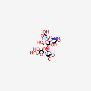 COc1cn([C@@H]2O[C@H](CO)[C@@H](O)[C@H]2O)c(=O)[nH]c1=O.O=C(O)CNC[C@@]1(n2ccc(=O)[nH]c2=O)O[C@H](CO)[C@@H](O)[C@H]1O